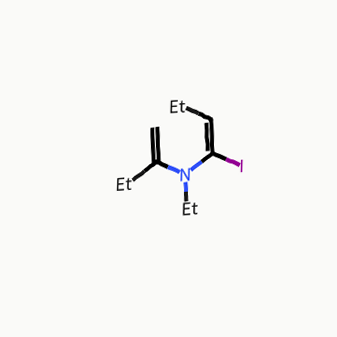 C=C(CC)N(CC)/C(I)=C\CC